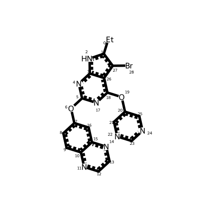 CCc1[nH]c2nc(Oc3ccc4nccnc4c3)nc(Oc3cncnc3)c2c1Br